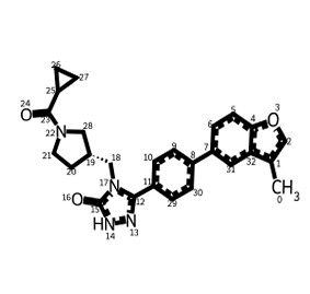 Cc1coc2ccc(-c3ccc(-c4n[nH]c(=O)n4C[C@@H]4CCN(C(=O)C5CC5)C4)cc3)cc12